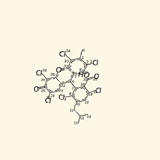 Cc1c(Cl)cc2c(-c3c(Cl)c(CC(C)C)cc(Cl)c3C(=O)O)c3cc(Cl)c(=O)c(Cl)c-3oc2c1Cl